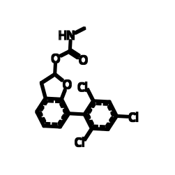 CNC(=O)OC1Cc2cccc(-c3c(Cl)cc(Cl)cc3Cl)c2O1